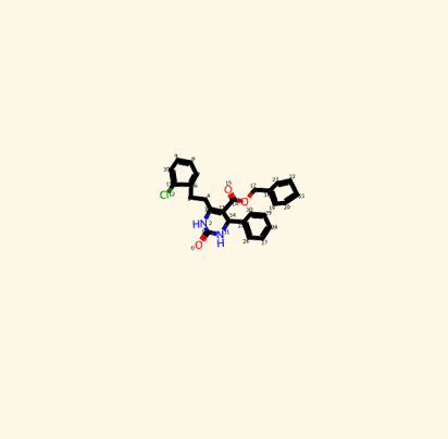 O=C1NC(CCc2ccccc2Cl)=C(C(=O)OCc2ccccc2)C(c2ccccc2)N1